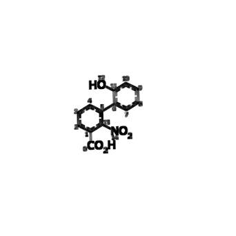 O=C(O)c1cccc(-c2ccccc2O)c1[N+](=O)[O-]